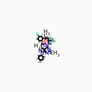 COc1ccc(F)cc1C1(C)CC(CNc2nc(C)nc3c2cnn3-c2ccccc2)(C(F)(F)F)O1